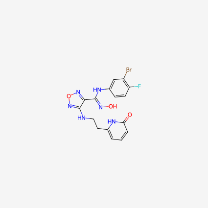 O=c1cccc(CCNc2nonc2C(=NO)Nc2ccc(F)c(Br)c2)[nH]1